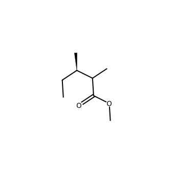 CC[C@@H](C)C(C)C(=O)OC